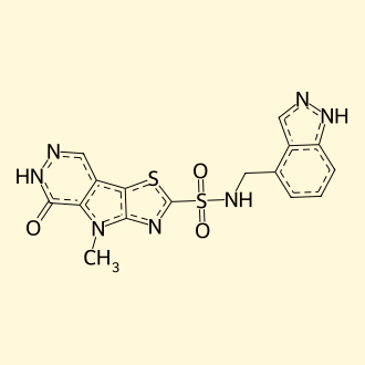 Cn1c2nc(S(=O)(=O)NCc3cccc4[nH]ncc34)sc2c2cn[nH]c(=O)c21